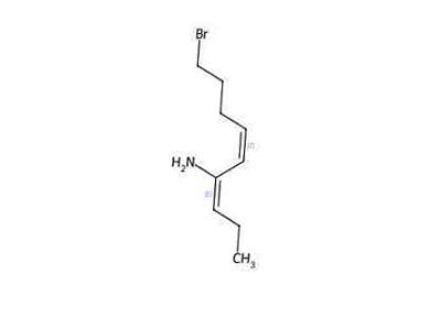 CC/C=C(N)\C=C/CCCBr